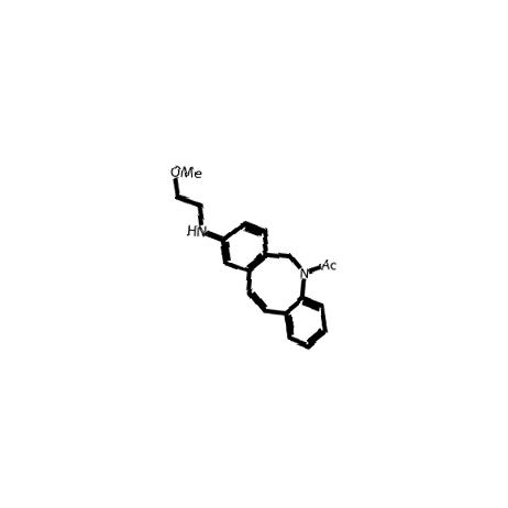 COCCNc1ccc2c(c1)/C=C\c1ccccc1N(C(C)=O)C2